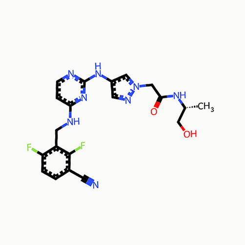 C[C@H](CO)NC(=O)Cn1cc(Nc2nccc(NCc3c(F)ccc(C#N)c3F)n2)cn1